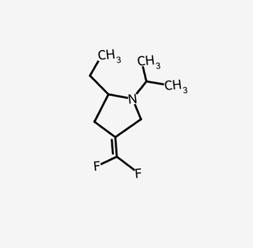 CCC1CC(=C(F)F)CN1C(C)C